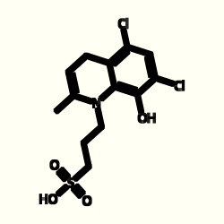 CC1=CCc2c(Cl)cc(Cl)c(O)c2N1CCCS(=O)(=O)O